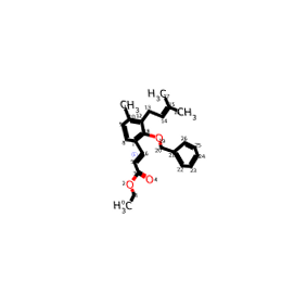 CCOC(=O)/C=C/c1ccc(C)c(CC=C(C)C)c1OCc1ccccc1